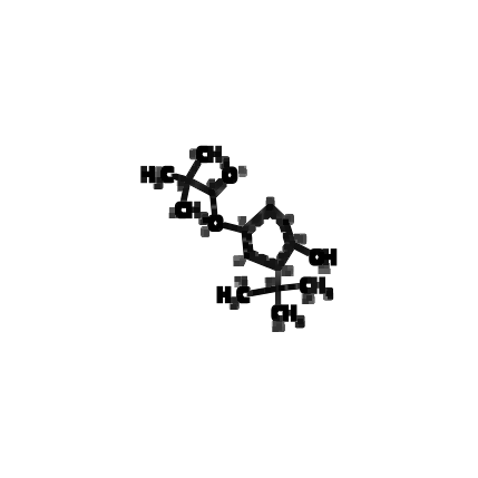 CC(C)(C)C(=O)Oc1ccc(O)c(C(C)(C)C)c1